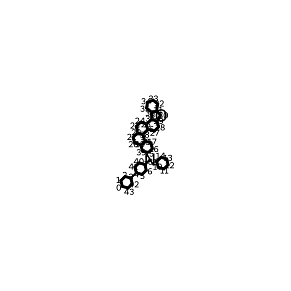 c1ccc(-c2ccc(N(c3ccccc3)c3ccc4c(ccc5ccc6c(ccc7oc8ccccc8c76)c54)c3)cc2)cc1